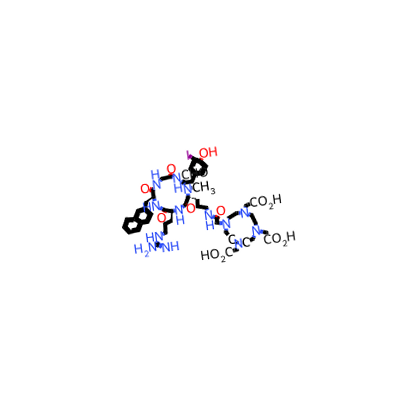 CN1[C@H](CCCNC(=O)CN2CCN(CC(=O)O)CCN(CC(=O)O)CCN(CC(=O)O)CC2)C(=O)N[C@@H](CCCNC(=N)N)C(=O)N[C@@H](Cc2ccc3ccccc3c2)C(=O)NCC(=O)N[C@]1(C=O)Cc1ccc(O)c(I)c1